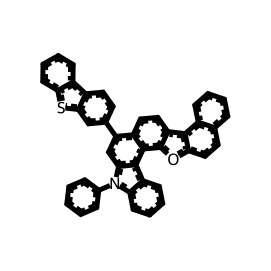 c1ccc(-n2c3ccccc3c3c4c(ccc5c4oc4ccc6ccccc6c45)c(-c4ccc5c(c4)sc4ccccc45)cc32)cc1